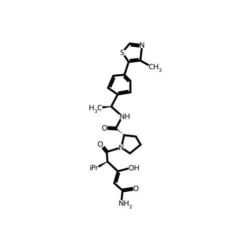 Cc1ncsc1-c1ccc([C@H](C)NC(=O)[C@@H]2CCCN2C(=O)[C@@H](/C(O)=C/C(N)=O)C(C)C)cc1